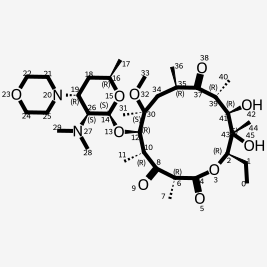 CC[C@H]1OC(=O)[C@H](C)C(=O)[C@H](C)[C@@H](O[C@@H]2O[C@H](C)C[C@@H](N3CCOCC3)[C@@H]2N(C)C)[C@@](C)(OC)C[C@@H](C)C(=O)[C@H](C)[C@@H](O)[C@]1(C)O